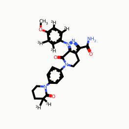 [2H]c1c([2H])c(-n2nc(C(N)=O)c3c2C(=O)N(c2ccc(N4CCCC([2H])([2H])C4=O)cc2)CC3)c([2H])c([2H])c1OC